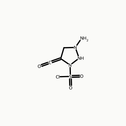 NN1CC(=C=O)N(S(=O)(=O)Cl)N1